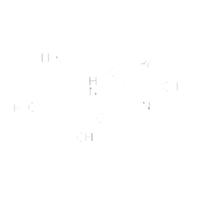 CCc1cc(C)cc(CC)c1NC(=O)c1c2n(c(C)c(Br)c1=O)CCCCC2